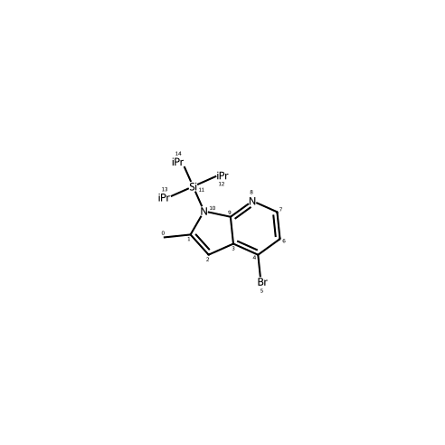 Cc1cc2c(Br)ccnc2n1[Si](C(C)C)(C(C)C)C(C)C